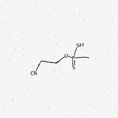 [C-]#[N+]CCOP(C)(=S)S